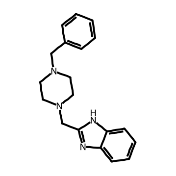 c1ccc(CN2CCN(Cc3nc4ccccc4[nH]3)CC2)cc1